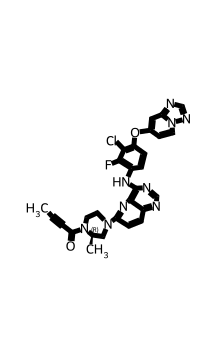 CC#CC(=O)N1CCN(c2ccc3ncnc(Nc4ccc(Oc5ccn6ncnc6c5)c(Cl)c4F)c3n2)C[C@H]1C